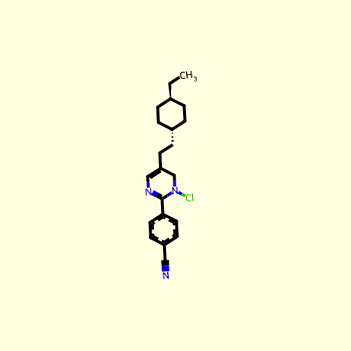 CC[C@H]1CC[C@H](CCC2=CN=C(c3ccc(C#N)cc3)N(Cl)C2)CC1